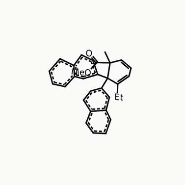 CCC1=CC=CC(C)(C(=O)OC)C1(c1ccc2ccccc2c1)c1ccc2ccccc2c1